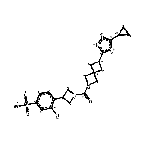 CC(C)S(=O)(=O)c1ccc(C2CN(C(=O)N3CC4(CC(c5nnc(C6CC6)[nH]5)C4)C3)C2)c(Cl)c1